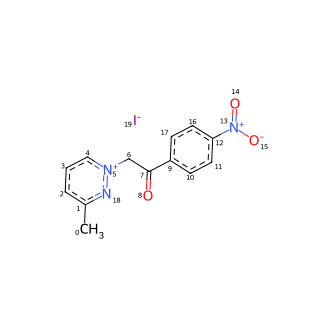 Cc1ccc[n+](CC(=O)c2ccc([N+](=O)[O-])cc2)n1.[I-]